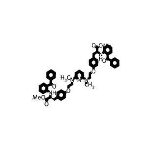 COC(=O)C(Cc1ccc(OCCN(C)c2cccc(N(C)CCOc3ccc(C[C@H](Nc4ccccc4C(=O)c4ccccc4)C(=O)OC)cc3)n2)cc1)Nc1ccccc1C(=O)c1ccccc1